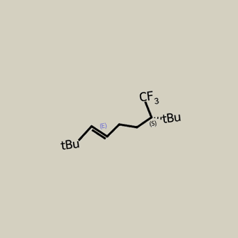 CC(C)(C)/C=C/CC[C@@H](C(C)(C)C)C(F)(F)F